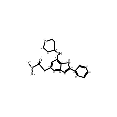 CCN(CC)C(=O)Cc1cc(NC2CCOCC2)c2[nH]c(-c3ccccc3)cc2c1